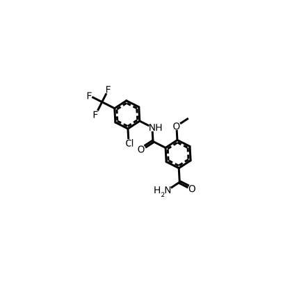 COc1ccc(C(N)=O)cc1C(=O)Nc1ccc(C(F)(F)F)cc1Cl